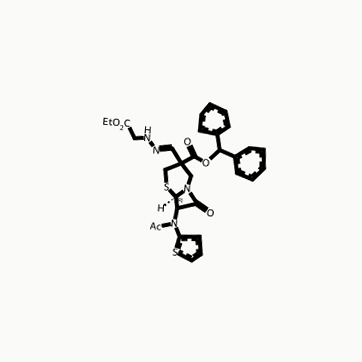 CCOC(=O)CNN=CC1(C(=O)OC(c2ccccc2)c2ccccc2)CS[C@@H]2C(N(C(C)=O)c3cccs3)C(=O)N2C1